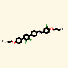 CCCCOc1ccc(/C=C/C2CCC(c3ccc(C4CCC(OCCC)CC4)c(F)c3F)CC2)cc1F